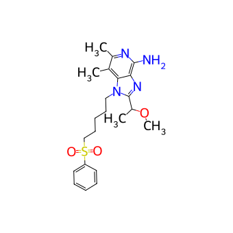 COC(C)c1nc2c(N)nc(C)c(C)c2n1CCCCCS(=O)(=O)c1ccccc1